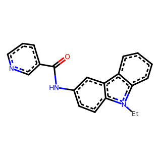 CCn1c2ccccc2c2cc(NC(=O)c3cccnc3)ccc21